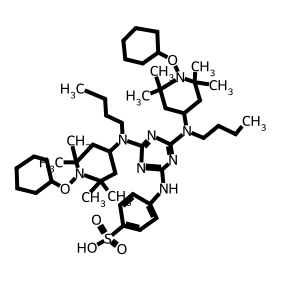 CCCCN(c1nc(Nc2ccc(S(=O)(=O)O)cc2)nc(N(CCCC)C2CC(C)(C)N(OC3CCCCC3)C(C)(C)C2)n1)C1CC(C)(C)N(OC2CCCCC2)C(C)(C)C1